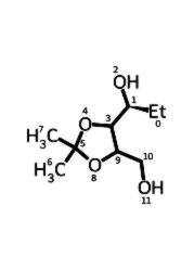 CC[C@H](O)C1OC(C)(C)OC1CO